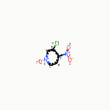 O=[N+]([O-])c1cc[n+]([O-])cc1Cl